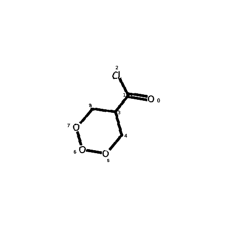 O=C(Cl)C1COOOC1